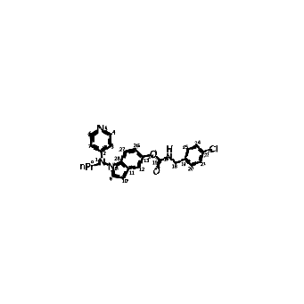 CCCN(c1ccncc1)n1ccc2cc(OC(=O)NCc3ccc(Cl)cc3)ccc21